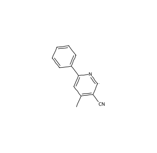 Cc1cc(-c2ccccc2)n[c]c1C#N